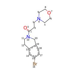 O=C(CCN1CCOCC1)N1CCc2cc(Br)ccc2C1